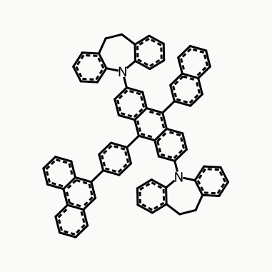 c1ccc2c(c1)CCc1ccccc1N2c1ccc2c(-c3ccc4ccccc4c3)c3cc(N4c5ccccc5CCc5ccccc54)ccc3c(-c3ccc(-c4cc5ccccc5c5ccccc45)cc3)c2c1